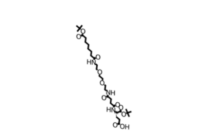 CC(C)(C)OC(=O)CCCCCCC(=O)NCCOCCOCCNC(=O)CCC(=O)N[C@@H](CCC(=O)O)C(=O)OC(C)(C)C